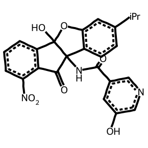 CC(C)c1ccc2c(c1)OC1(O)c3cccc([N+](=O)[O-])c3C(=O)C21NC(=O)c1cncc(O)c1